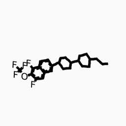 CCCC1CCC(C2CCC(c3ccc4c(F)c(OC(F)(F)F)c(F)cc4c3)CC2)CC1